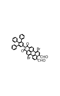 O=Cc1ccc2c3c(Br)cc4c5c(ccc(c6c(Br)cc(C=O)c1c26)c53)C(=O)N(c1cc(-c2ccccc2)c(-c2ccccc2)c(-c2ccccc2)c1)C4=O